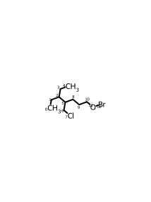 CCC(CC)C(CCl)CCCOBr